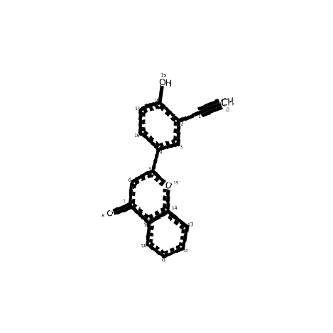 C#Cc1cc(-c2cc(=O)c3ccccc3o2)ccc1O